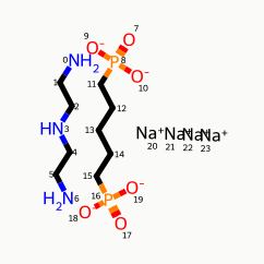 NCCNCCN.O=P([O-])([O-])CCCCCP(=O)([O-])[O-].[Na+].[Na+].[Na+].[Na+]